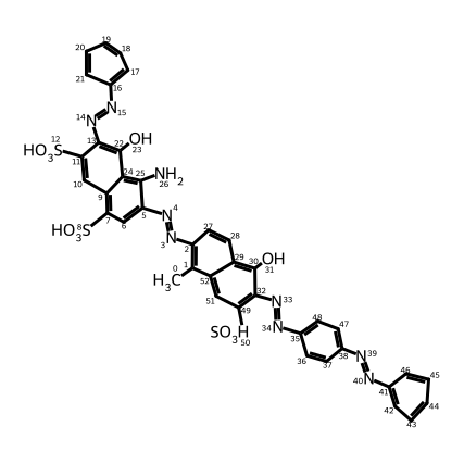 Cc1c(N=Nc2cc(S(=O)(=O)O)c3cc(S(=O)(=O)O)c(N=Nc4ccccc4)c(O)c3c2N)ccc2c(O)c(N=Nc3ccc(N=Nc4ccccc4)cc3)c(S(=O)(=O)O)cc12